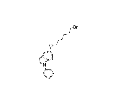 BrCCCCCCOc1ccc2c(ccn2-c2ccccc2)c1